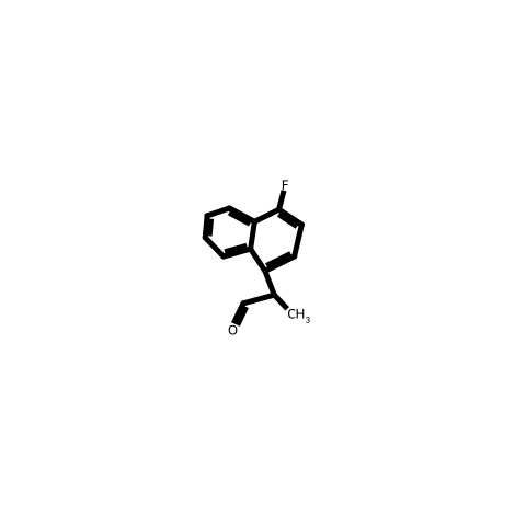 CC(C=O)c1ccc(F)c2ccccc12